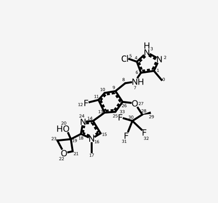 Cc1n[nH]c(Cl)c1NCc1cc(F)c(-c2cn(C)c(C3(O)COC3)n2)cc1O[C@@H](C)C(F)(F)F